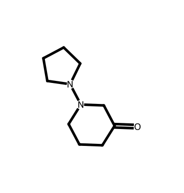 O=C1CCCN(N2CCCC2)C1